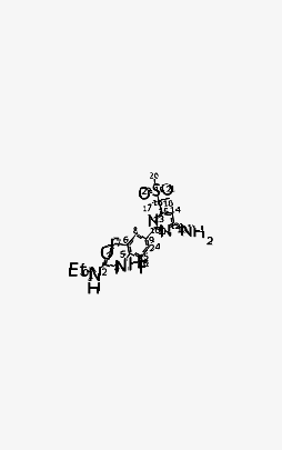 CCNC(=O)Nc1c(F)cc(-c2nc(N)cc(C(C)(C)S(C)(=O)=O)n2)cc1F